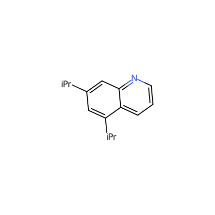 CC(C)c1cc(C(C)C)c2cccnc2c1